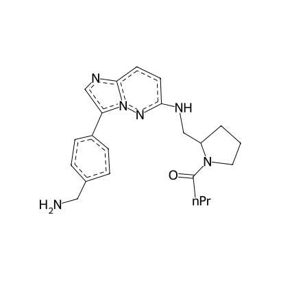 CCCC(=O)N1CCCC1CNc1ccc2ncc(-c3ccc(CN)cc3)n2n1